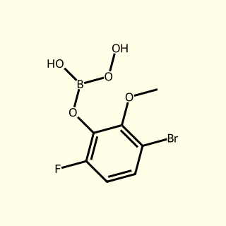 COc1c(Br)ccc(F)c1OB(O)OO